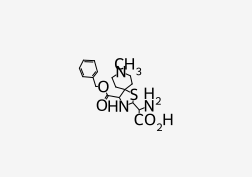 CN1CCC2(CC1)SC(C(N)C(=O)O)NC2C(=O)OCc1ccccc1